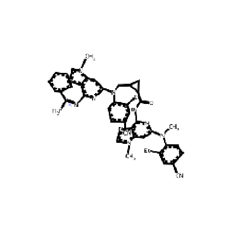 CCc1cc(C#N)ccc1N(C)c1cc2c(ncn2C)c(NC(=O)C2CC2CN(c2cc3c(ncn3C)c(/N=C(/P)c3ccccc3)n2)c2ccc(C#N)cc2CC)n1